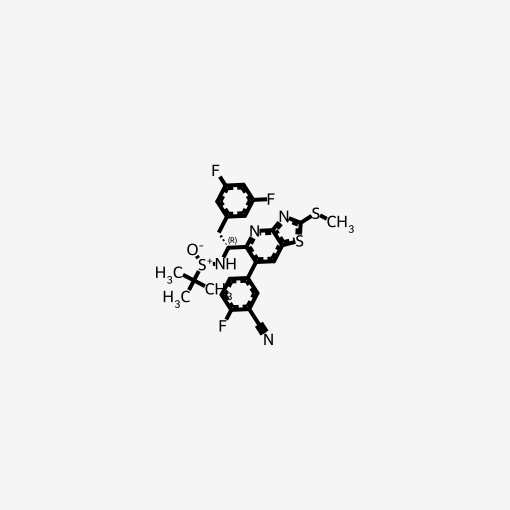 CSc1nc2nc([C@@H](Cc3cc(F)cc(F)c3)N[S+]([O-])C(C)(C)C)c(-c3ccc(F)c(C#N)c3)cc2s1